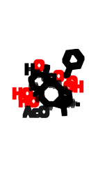 CC(=O)O[C@@H]1C2=C(C)[C@@H](C)C[C@@](O)([C@@H](OC(=O)c3ccccc3)[C@@H]3[C@]4(C)CO[C@@H]4C[C@H](O)[C@@]3(C)[C@H]1O)C2(C)C